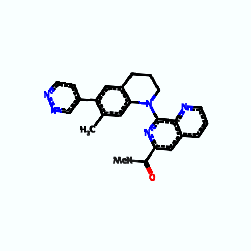 CNC(=O)c1cc2cccnc2c(N2CCCc3cc(-c4ccnnc4)c(C)cc32)n1